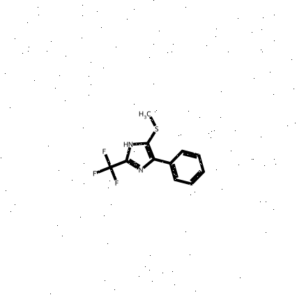 CSc1[nH]c(C(F)(F)F)nc1-c1ccccc1